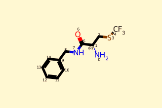 N[C@@H](CSC(F)(F)F)C(=O)NCc1ccccc1